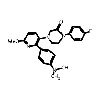 COc1ccc(N2CCN(c3ccc(F)cc3)C(=O)C2)c(-c2ccc(N(C)C)cc2)n1